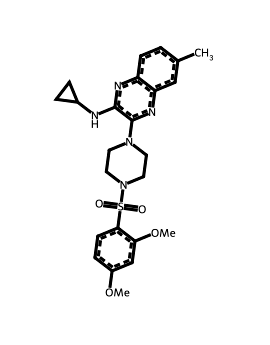 COc1ccc(S(=O)(=O)N2CCN(c3nc4cc(C)ccc4nc3NC3CC3)CC2)c(OC)c1